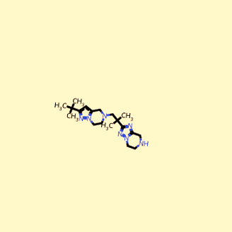 CC(C)(C)c1cc2n(n1)CCN(CC(C)(C)c1nc3n(n1)CCNC3)C2